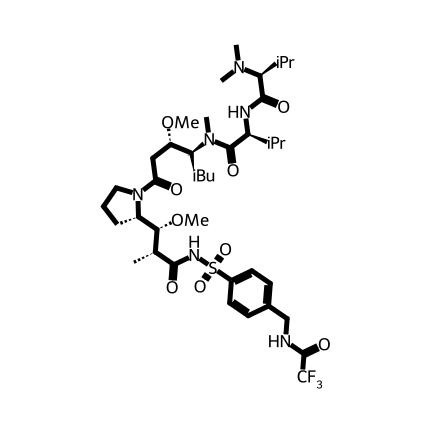 CC[C@H](C)[C@@H]([C@H](CC(=O)N1CCC[C@H]1[C@H](OC)[C@@H](C)C(=O)NS(=O)(=O)c1ccc(CNC(=O)C(F)(F)F)cc1)OC)N(C)C(=O)[C@@H](NC(=O)[C@H](C(C)C)N(C)C)C(C)C